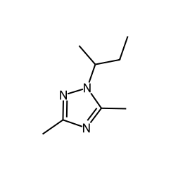 CCC(C)n1nc(C)nc1C